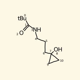 CC(C)(C)C(=O)NCCCC1(O)CC1